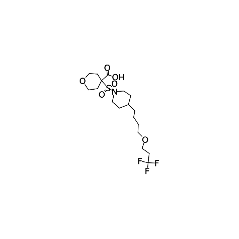 O=C(O)C1(S(=O)(=O)N2CCC(CCCCOCCC(F)(F)F)CC2)CCOCC1